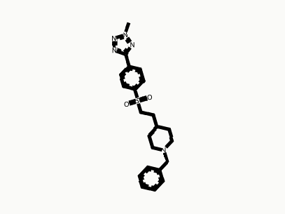 Cn1nnc(-c2ccc(S(=O)(=O)CCC3CCN(Cc4ccccc4)CC3)cc2)n1